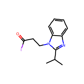 CC(C)c1nc2ccccc2n1CCC(=O)I